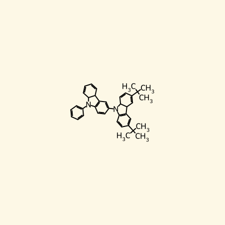 CC(C)(C)C1=CC2c3cc(C(C)(C)C)ccc3N(c3ccc4c(c3)C3C=CC=CC3N4c3ccccc3)C2C=C1